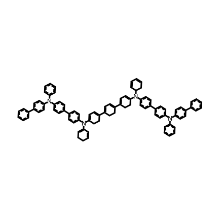 C1=CCC(N(C2=CC=C(C3=CC=C(C4=CC=C(N(C5=CCCC=C5)c5ccc(-c6ccc(N(c7ccccc7)c7ccc(-c8ccccc8)cc7)cc6)cc5)CC4)CC3)CC2)c2ccc(-c3ccc(N(c4ccccc4)c4ccc(-c5ccccc5)cc4)cc3)cc2)C=C1